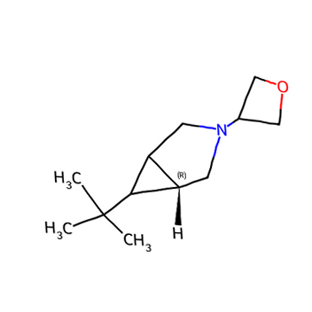 CC(C)(C)C1C2CN(C3COC3)C[C@@H]21